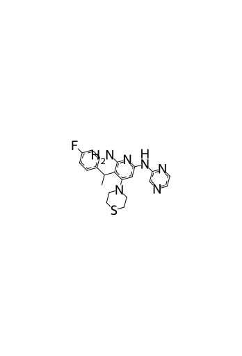 CC(c1ccc(F)cc1)c1c(N2CCSCC2)cc(Nc2cnccn2)nc1N